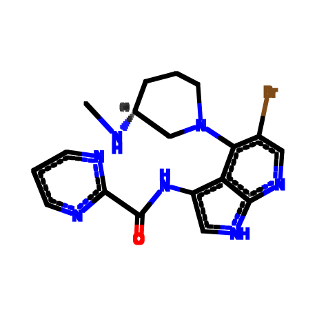 CN[C@@H]1CCCN(c2c(Br)cnc3[nH]cc(NC(=O)c4ncccn4)c23)C1